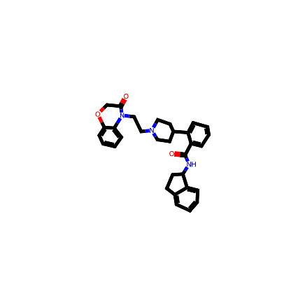 O=C(NC1CCc2ccccc21)c1ccccc1C1CCN(CCN2C(=O)COc3ccccc32)CC1